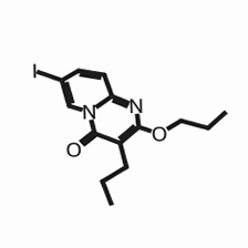 CCCOc1nc2ccc(I)cn2c(=O)c1CCC